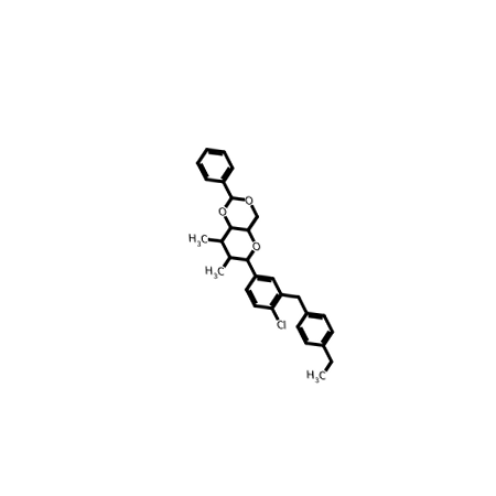 CCc1ccc(Cc2cc(C3OC4COC(c5ccccc5)OC4C(C)C3C)ccc2Cl)cc1